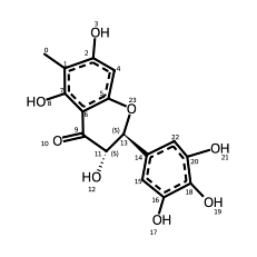 Cc1c(O)cc2c(c1O)C(=O)[C@@H](O)[C@H](c1cc(O)c(O)c(O)c1)O2